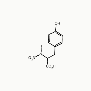 O=C(O)C(Cc1ccc(O)cc1)N(I)[N+](=O)[O-]